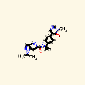 CC(C)n1ncc2cnc(C(=O)NC3(c4ccc(-c5cncn(C)c5=O)cc4)CC3)cc21